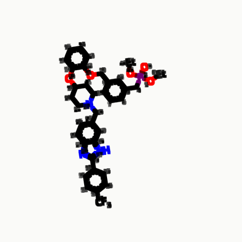 CCOP(=O)(Cc1cccc(COc2ccccc2OC2CCN(Cc3ccc4nc(-c5ccc(C(F)(F)F)cc5)[nH]c4c3)CC2)c1)OCC